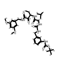 CCC(NC(=O)[C@H](CC(C)C)NC(=O)NCc1cccc(NC(=O)OC(C)(C)C)c1)C(=O)C(=O)NCc1cc(OC)cc(OC)c1